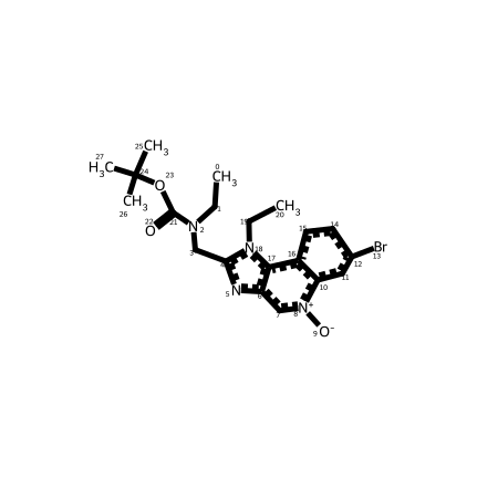 CCN(Cc1nc2c[n+]([O-])c3cc(Br)ccc3c2n1CC)C(=O)OC(C)(C)C